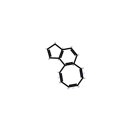 [C]1=CCc2ccc3c(c21)\C=C/C=C\C=C/3